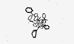 CC(=O)OC1(C)O[C@H]([C@H](C)OC(=O)c2ccccc2)[C@@H](OC(=O)c2ccccc2)[C@]1(O)C(=O)c1ccccc1